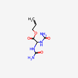 C=CCOC(=O)C(NC(N)=O)NC(N)=O